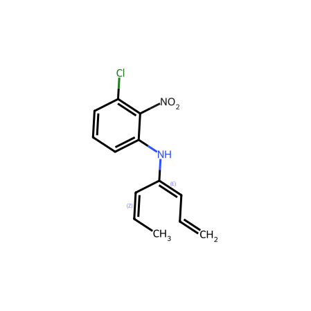 C=C/C=C(\C=C/C)Nc1cccc(Cl)c1[N+](=O)[O-]